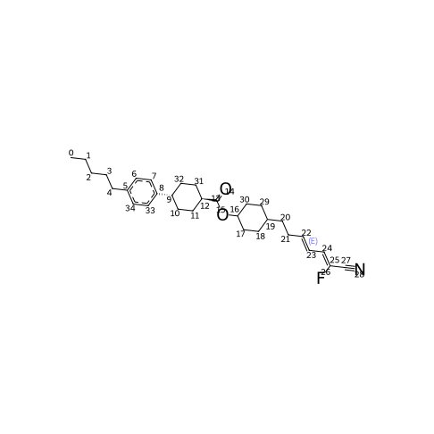 CCCCCc1ccc([C@H]2CC[C@H](C(=O)OC3CCC(CC/C=C/C=C(F)C#N)CC3)CC2)cc1